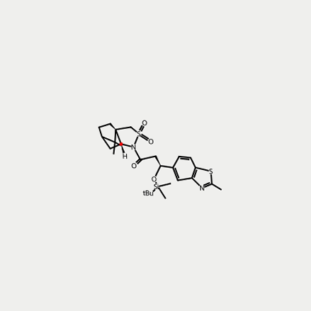 Cc1nc2cc([C@H](CC(=O)N3[C@@H]4CC5CC[C@]4(CS3(=O)=O)C5(C)C)O[Si](C)(C)C(C)(C)C)ccc2s1